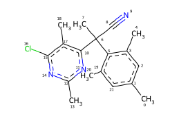 Cc1cc(C)c(C(C)(C#N)c2nc(C)nc(Cl)c2C)c(C)c1